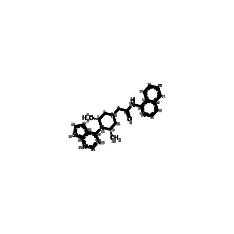 C[C@@H]1CN(CC(=O)Nc2nccc3ccccc23)C[C@H](C)N1c1ncnc2sccc12